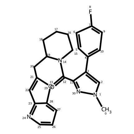 Cn1cc(-c2ccc(F)cc2)c(C(=O)N2CCCCC2Cc2cc3ncccc3o2)n1